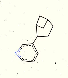 c1cncc([C]2CCC3CC2C3)c1